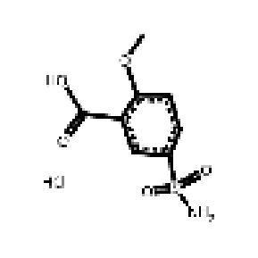 COc1ccc(S(N)(=O)=O)cc1C(=O)O.Cl